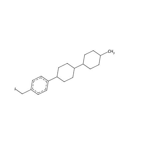 CC1CCC(C2CCC(c3ccc(CI)cc3)CC2)CC1